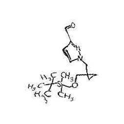 CC(C)(C)[Si](C)(C)OCC1(Cn2ccc(C=O)n2)CC1